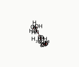 CC(C)(COc1cccc(C(NC(=O)O[C@H]2CN3CCC2CC3)c2ccccc2)c1)C(=O)OCCCCCNC[C@@H](O)c1ccc(O)c2[nH]c(=O)ccc12